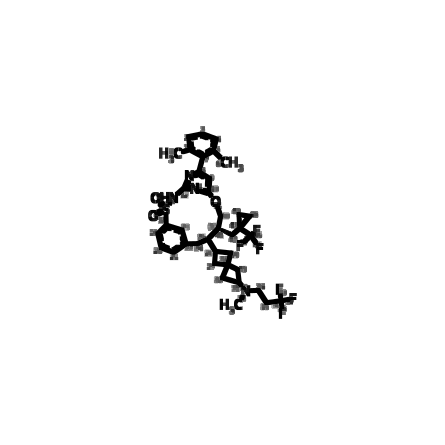 Cc1cccc(C)c1-c1cc2nc(n1)NS(=O)(=O)c1cccc(c1)CC(C1CC3(C1)CC(N(C)CCC(F)(F)F)C3)[C@H](CC1(C(F)(F)F)CC1)CO2